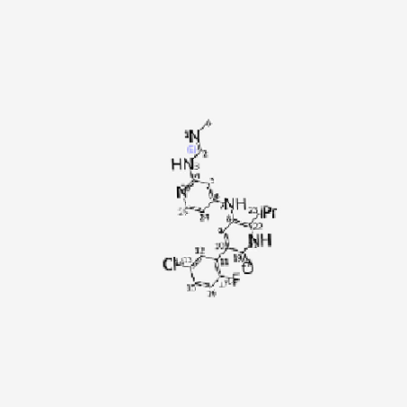 C/N=C/Nc1cc(Nc2cc(-c3cc(Cl)ccc3F)c(=O)[nH]c2C(C)C)ccn1